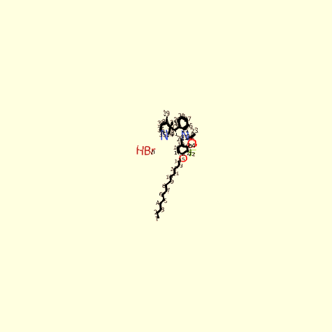 Br.CCCCCCCCCCCCCCOc1ccc(CN(C(C)=O)c2ccccc2CC2(C)CN=CC=C2C)cc1F